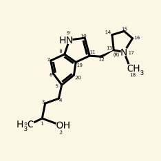 CC(O)CCc1ccc2[nH]cc(C[C@H]3CCCN3C)c2c1